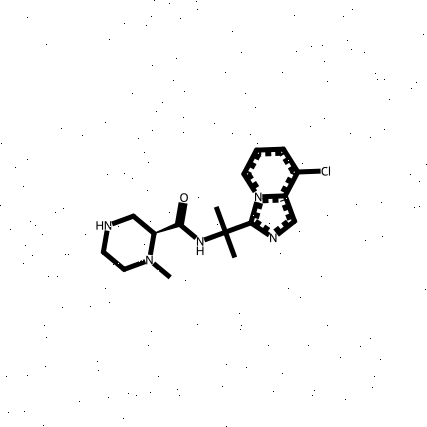 CN1CCNC[C@H]1C(=O)NC(C)(C)c1ncc2c(Cl)cccn12